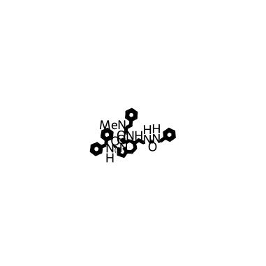 CNC(Cc1ccccc1)C(=O)NC1C(=O)N2C(CCC1CCNC(=O)NCc1ccccc1)CC[C@H]2C(=O)NC(c1ccccc1)c1ccccc1